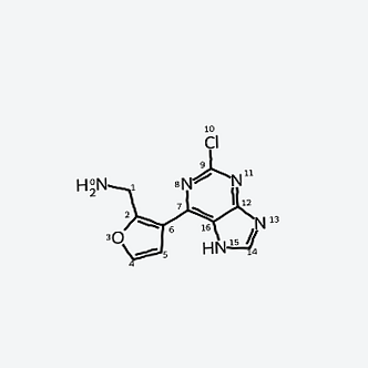 NCc1occc1-c1nc(Cl)nc2nc[nH]c12